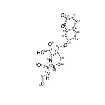 O=CN[C@@H]1C(=O)N2C(C(=O)O)=C(COc3ccc4ccc(=O)oc4c3)CS[C@H]12